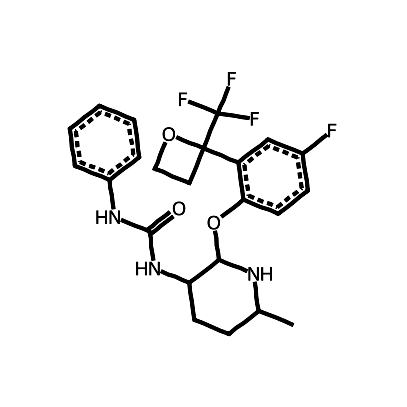 CC1CCC(NC(=O)Nc2ccccc2)C(Oc2ccc(F)cc2C2(C(F)(F)F)CCO2)N1